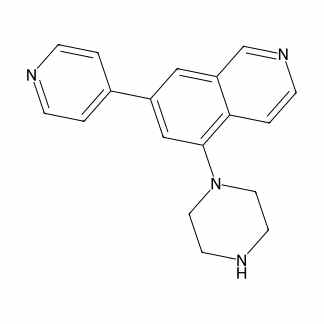 c1cc(-c2cc(N3CCNCC3)c3ccncc3c2)ccn1